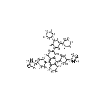 c1ccc(-c2cc(-c3ccccc3)cc(-c3ccc4c(-c5ccc(-c6cocn6)cc5)c5ccccc5c(-c5ccc(-c6cocn6)cc5)c4c3)c2)cc1